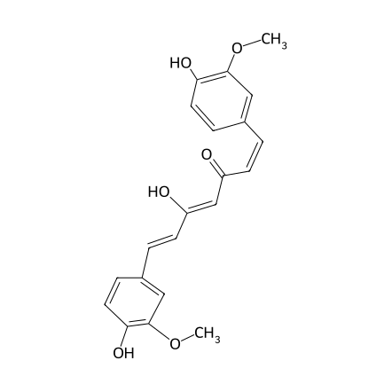 COc1cc(/C=C\C(=O)/C=C(O)/C=C/c2ccc(O)c(OC)c2)ccc1O